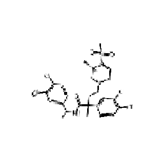 CC(NC(=O)C(C)(CCN1CCN(S(C)(=O)=O)[C@H](C)C1)c1ccc(Cl)c(Cl)c1)c1ccc(Cl)c(Cl)c1